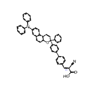 N#C/C(=C\c1ccc(-c2ccc(C3(c4ccccc4)C=Cc4c(ccc5cc(N(c6ccccc6)c6ccccc6)ccc45)O3)cc2)cc1)C(=O)O